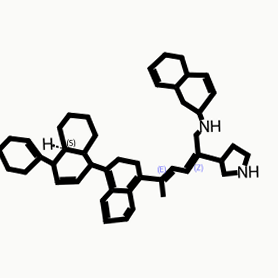 C/C(=C\C=C(/CNC1C=CC2CCC=CC2C1)C1CCNC1)C1=c2ccccc2=C(C2C=CC(C3=CCCCC3)[C@H]3CCCCC23)CC1